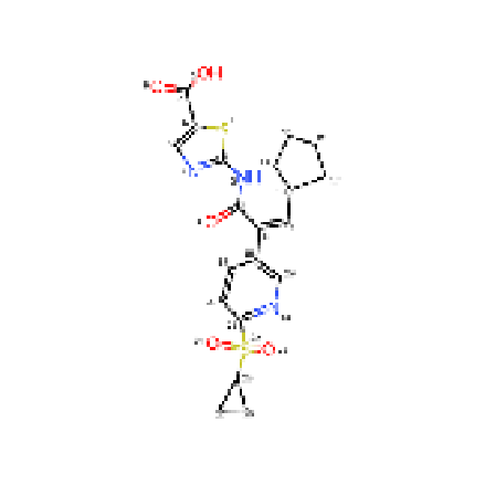 O=C(Nc1ncc(C(=O)O)s1)C(=CC1CCCC1)c1ccc(S(=O)(=O)C2CC2)nc1